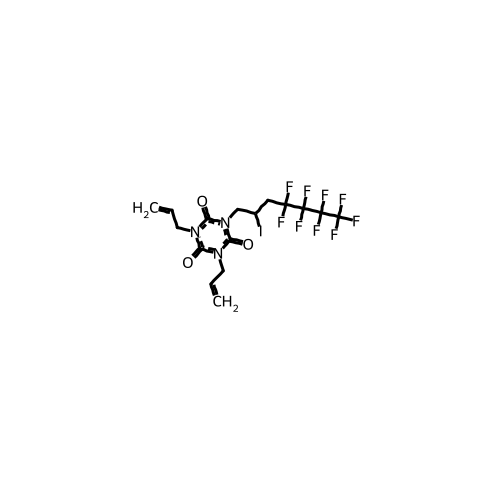 C=CCn1c(=O)n(CC=C)c(=O)n(CC(I)CC(F)(F)C(F)(F)C(F)(F)C(F)(F)F)c1=O